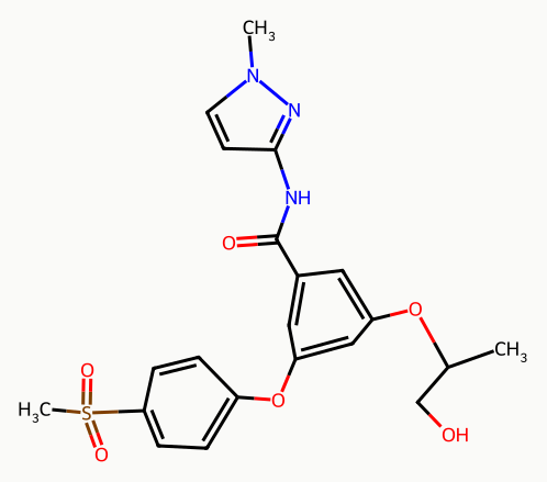 CC(CO)Oc1cc(Oc2ccc(S(C)(=O)=O)cc2)cc(C(=O)Nc2ccn(C)n2)c1